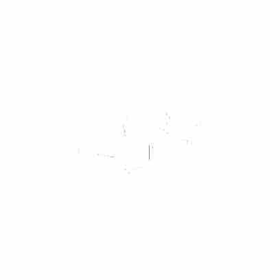 Cc1nsc(-n2nccn2)c1C